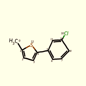 Cc1ccc(-c2cc[c]c(Cl)c2)s1